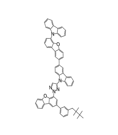 CC(C)(C)C(C)(C)Cc1cccc(-c2cc(-n3ncc(-n4c5ccccc5c5cc(-c6ccc7oc8c(-n9c%10ccccc%10c%10ccccc%109)cccc8c7c6)ccc54)n3)c3oc4ccccc4c3c2)c1